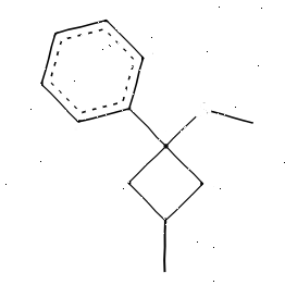 CSC1(c2ccccc2)CC(C)C1